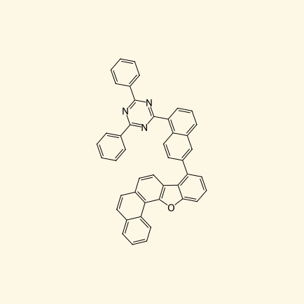 c1ccc(-c2nc(-c3ccccc3)nc(-c3cccc4cc(-c5cccc6oc7c(ccc8ccc9ccccc9c87)c56)ccc34)n2)cc1